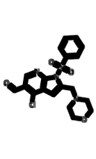 O=Cc1cnc2c(cc(CN3CCOCC3)n2S(=O)(=O)c2ccccc2)c1Cl